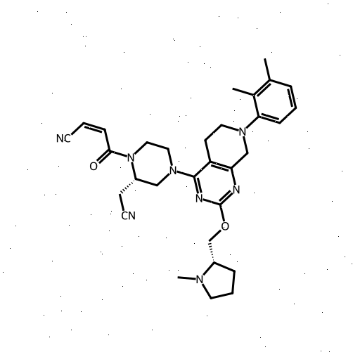 Cc1cccc(N2CCc3c(nc(OC[C@@H]4CCCN4C)nc3N3CCN(C(=O)/C=C\C#N)[C@@H](CC#N)C3)C2)c1C